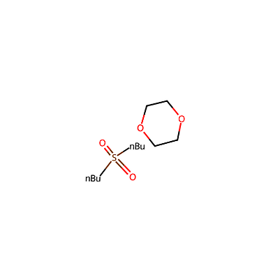 C1COCCO1.CCCCS(=O)(=O)CCCC